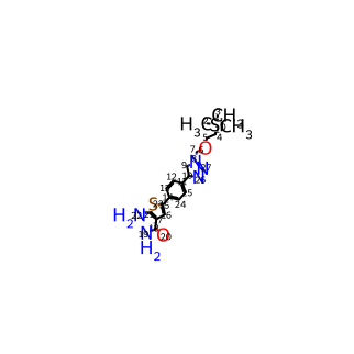 C[Si](C)(C)CCOCN1CC(c2ccc(-c3cc(C(N)=O)c(N)s3)cc2)N=N1